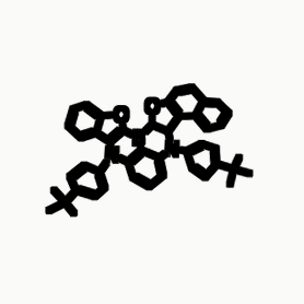 CC(C)(C)c1ccc(N2c3cccc4c3B(c3oc5ccccc5c32)C2Oc3ccc5ccccc5c3C2N4c2ccc(C(C)(C)C)cc2)cc1